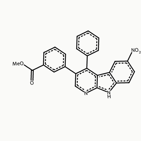 COC(=O)c1cccc(-c2cnc3[nH]c4ccc([N+](=O)[O-])cc4c3c2-c2ccccc2)c1